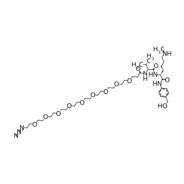 CNCCCC[C@H](NC(=O)[C@@H](NC(=O)CCOCCOCCOCCOCCOCCOCCOCCOCCOCCN=[N+]=[N-])C(C)C)C(=O)Nc1ccc(CO)cc1